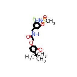 CC(C)(C)c1ccc(OCC(=O)NCc2ccc(NS(C)(=O)=O)c(F)c2)cc1[O]